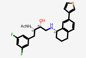 CC(=O)N[C@@H](Cc1cc(F)cc(F)c1)[C@H](O)CN[C@H]1CCCc2ccc(-c3ccsc3)cc21